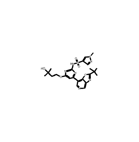 Cn1cc(S(=O)(=O)Nc2nc(OCCC(C)(C)O)cc(-c3cncc4nc(C(C)(C)C)oc34)n2)cn1